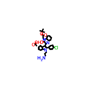 CC(=O)O.CC(C)(C)OC(=O)Cn1c(=O)c(-c2c(-c3ccc(Cl)cc3)n(CCCN)c3ccccc23)nc2ccccc21